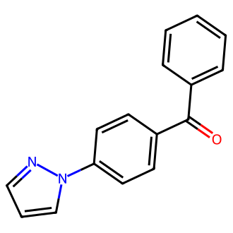 O=C(c1ccccc1)c1ccc(-n2cccn2)cc1